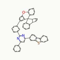 C1=CC2c3ccccc3C3(c4ccccc4Oc4ccc(-c5cccc(-c6nc(-c7ccccc7)cc(-c7ccc8c(c7)sc7ccccc78)n6)c5)cc43)C2C=C1